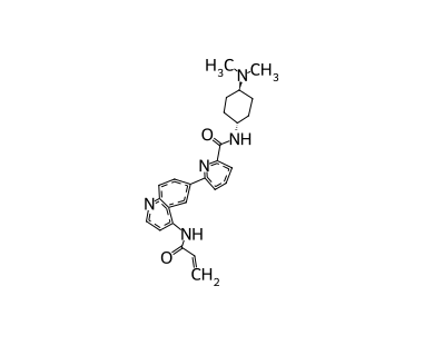 C=CC(=O)Nc1ccnc2ccc(-c3cccc(C(=O)N[C@H]4CC[C@H](N(C)C)CC4)n3)cc12